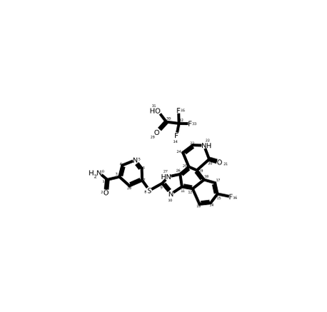 NC(=O)c1cncc(Sc2nc3c4ccc(F)cc4c4c(=O)[nH]ccc4c3[nH]2)c1.O=C(O)C(F)(F)F